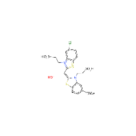 COc1ccc2c(c1)N(CCS(=O)(=O)O)C(=Cc1sc3ccc(Cl)cc3[n+]1CCS(=O)(=O)O)S2.[OH-]